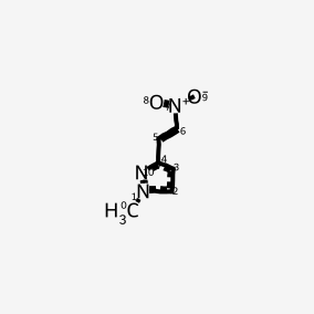 Cn1ccc(C=C[N+](=O)[O-])n1